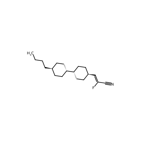 CCCC[C@H]1CC[C@H]([C@H]2CC[C@H](C=C(F)C#N)CC2)CC1